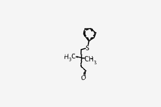 CC(C)(CC=O)CSc1ccccc1